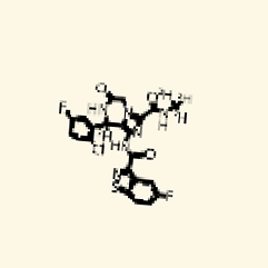 [2H]C([2H])([2H])NC(=O)c1nc(NC(=O)c2nsc3ccc(F)cc23)c2n1CC(=O)N[C@@]2([2H])c1cc(F)ccc1Cl